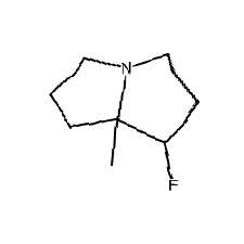 CC12CCCN1CCC2F